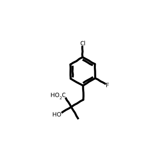 CC(O)(Cc1ccc(Cl)cc1F)C(=O)O